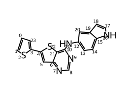 c1csc(-c2cc3ncnc(Nc4ccc5[nH]ccc5c4)c3s2)c1